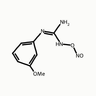 COc1cccc(N=C(N)NON=O)c1